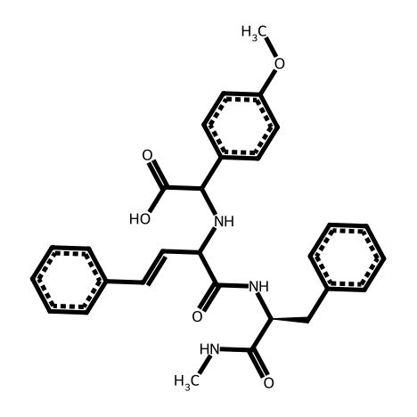 CNC(=O)[C@H](Cc1ccccc1)NC(=O)C(/C=C/c1ccccc1)NC(C(=O)O)c1ccc(OC)cc1